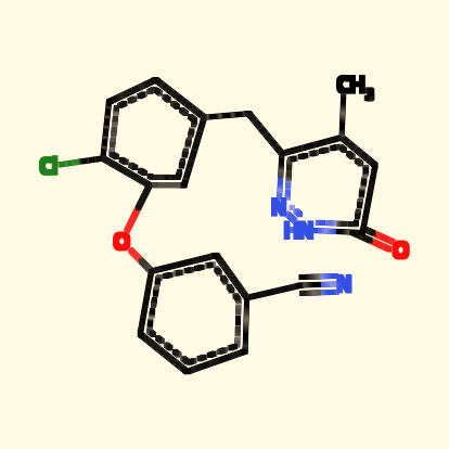 Cc1cc(=O)[nH]nc1Cc1ccc(Cl)c(Oc2cccc(C#N)c2)c1